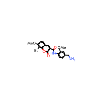 CCc1c(OC)ccc2cc(C(=O)Nc3ccc(CN)cc3OC)c(=O)oc12